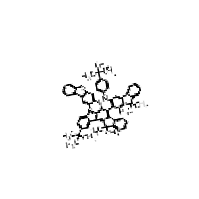 CC(C)(C)c1ccc(N2B3c4cc5sc6ccccc6c5cc4-n4c5ccc(C(C)(C)C)cc5c5c6c(c(c3c54)-c3cc4c(cc32)-c2ccccc2C4(C)C)-c2ccccc2C6(C)C)cc1